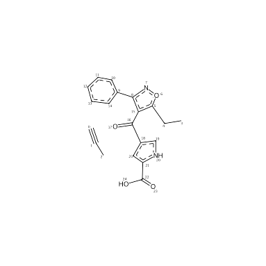 C#CC.CCc1onc(-c2ccccc2)c1C(=O)c1c[nH]c(C(=O)O)c1